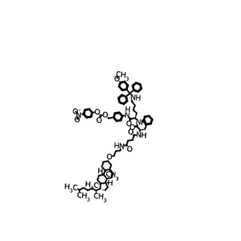 COc1ccc(C(NCCCC[C@@H](NC(=O)[C@@H](Cc2ccccc2)NC(=O)CCC(=O)NCCCO[C@H]2CC[C@@]3(C)C(=CCC4[C@@H]5CC[C@H]([C@H](C)CCCC(C)C)[C@@]5(C)CC[C@@H]43)C2)C(=O)Nc2ccc(COC(=O)Oc3ccc([N+](=O)[O-])cc3)cc2)(c2ccccc2)c2ccccc2)cc1